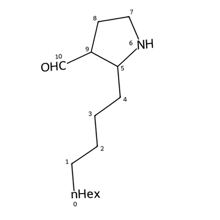 CCCCCCCCCCC1NCCC1C=O